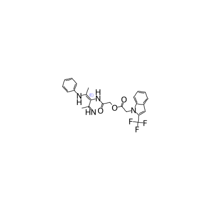 CC(=N)/C(NC(=O)COC(=O)Cn1c(C(F)(F)F)cc2ccccc21)=C(/C)Nc1ccccc1